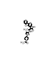 CC(=O)N1CCC(n2ccc(N/C(C)=C3\C(=O)Nc4cnc(-c5cnccc5C)cc43)n2)CC1